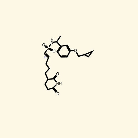 CC(NS(=O)(=O)/C=C/CCCC1CCC(=O)NC1=O)c1cccc(OCC2CC2)c1